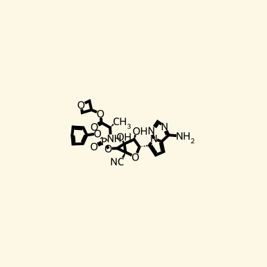 C[C@H](NP(=O)(Oc1ccccc1)OC1[C@@]2(C#N)O[C@@H](c3ccc4c(N)ncnn34)[C@H](O)[C@@]12O)C(=O)OC1COC1